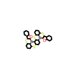 c1cc2c3c(c1)Sc1c(oc4ccccc14)B3c1ccc3c(c1S2)B1c2oc4ccccc4c2Sc2cccc(c21)S3